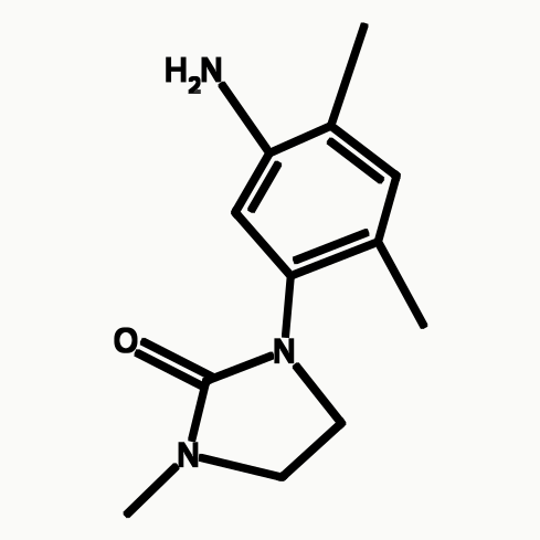 Cc1cc(C)c(N2CCN(C)C2=O)cc1N